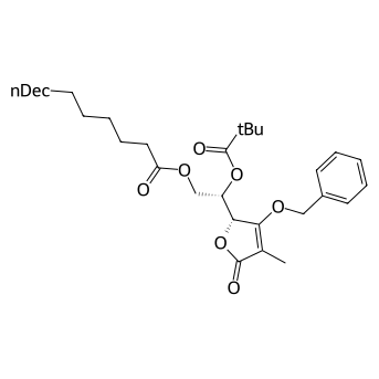 CCCCCCCCCCCCCCCC(=O)OC[C@H](OC(=O)C(C)(C)C)[C@H]1OC(=O)C(C)=C1OCc1ccccc1